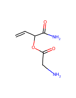 C=CC(OC(=O)CN)C(N)=O